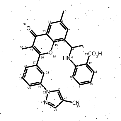 Cc1cc(C(C)Nc2ccccc2C(=O)O)c2oc(-c3cccc(-n4cc(C#N)cn4)c3)c(C)c(=O)c2c1